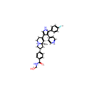 O=C(NCO)c1ccc([C@@H]2C[C@H]3C=C(c4c[nH]c(-c5ccc(F)cc5)c4-c4ccncc4)CCN3C2)cc1